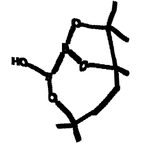 CC1(C)CCC2(C)OB(OC2(C)C)B(O)O1